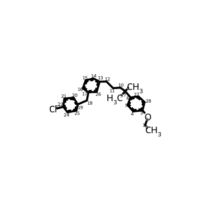 CCOc1ccc(C(C)(C)CCCc2cccc(Cc3ccc(Cl)cc3)c2)cc1